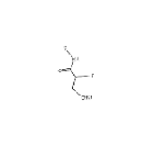 O=CCC(F)C(=O)NF